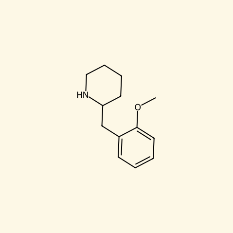 COc1ccccc1CC1CCCCN1